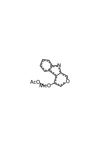 COC(C)=O.COc1cocc2nc3ccccc3c1-2